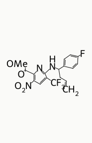 C=CCC(Nc1nc(C(=O)OC)c([N+](=O)[O-])cc1C(F)(F)F)c1ccc(F)cc1